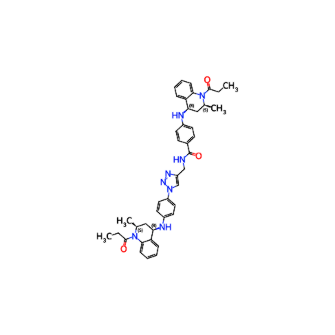 CCC(=O)N1c2ccccc2[C@H](Nc2ccc(C(=O)NCc3cn(-c4ccc(N[C@@H]5C[C@H](C)N(C(=O)CC)c6ccccc65)cc4)nn3)cc2)C[C@@H]1C